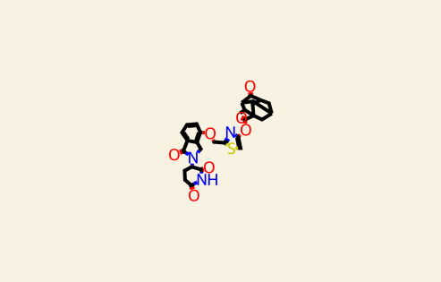 CC1C2CC3CC(CC1(C(=O)Oc1csc(COc4cccc5c4CN(C4CCC(=O)NC4=O)C5=O)n1)C3)C2=O